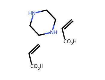 C1CNCCN1.C=CC(=O)O.C=CC(=O)O